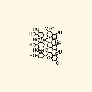 CO[C@@H]1[C@@H](c2c(O)cc(O)c3c2O[C@H](C2C=C(O)C(O)=CC2)[C@H](OC)C3)c2c(O)cc(O)c([C@H]3c4c(O)cc(O)cc4O[C@H](C4C=C(O)C(O)=CC4)[C@@H]3OC)c2O[C@@H]1C1C=C(O)C(O)=CC1